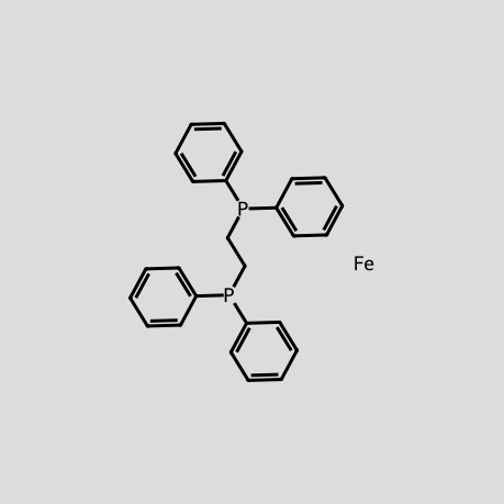 [Fe].c1ccc(P(CCP(c2ccccc2)c2ccccc2)c2ccccc2)cc1